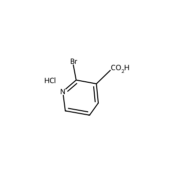 Cl.O=C(O)c1cccnc1Br